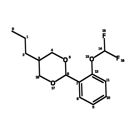 CCCC1COC(c2ccccc2OC(F)F)OC1